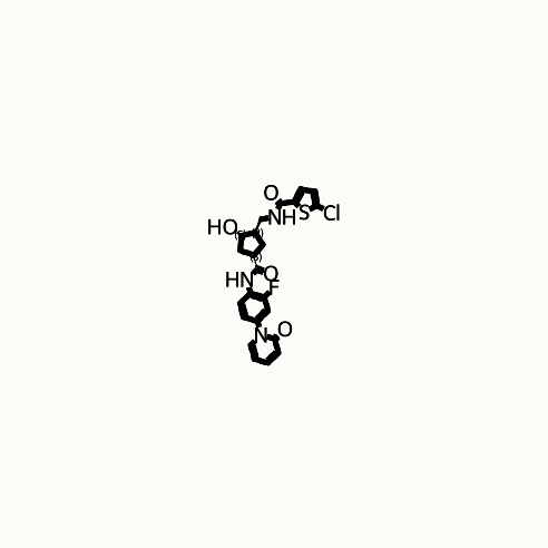 O=C(NC[C@H]1C[C@H](C(=O)Nc2ccc(-n3ccccc3=O)cc2F)C[C@@H]1O)c1ccc(Cl)s1